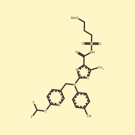 COCCCS(=O)(=O)NC(=O)c1nc(N(Cc2ccc(OC(F)F)nc2)c2ccc(C#N)cc2)sc1C